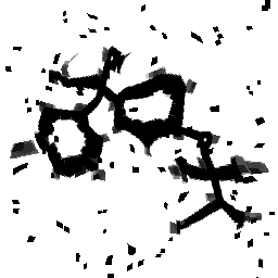 CC(C)C(O)(c1ccc(OC(F)(F)C(F)F)cc1)c1cncnc1